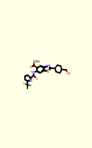 COC(=O)c1cc2nc(C3CCC(CO)CC3)sc2cc1NC(=O)c1cccc(C(C)(F)F)n1